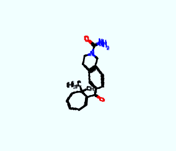 CC1(C)CCCCC=C1C(=O)c1ccc2c(c1)CCN(C(N)=O)C2